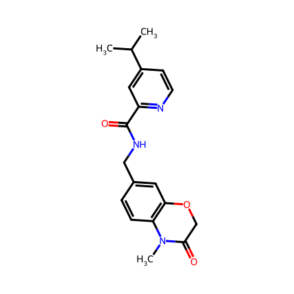 CC(C)c1ccnc(C(=O)NCc2ccc3c(c2)OCC(=O)N3C)c1